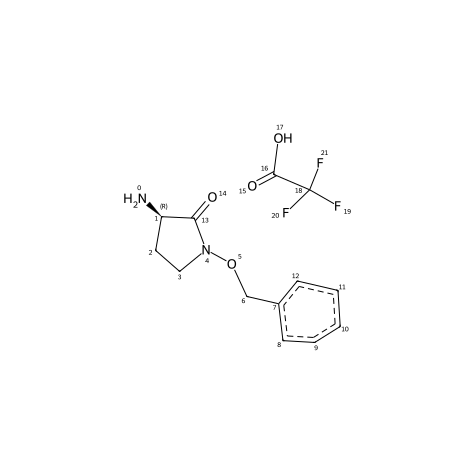 N[C@@H]1CCN(OCc2ccccc2)C1=O.O=C(O)C(F)(F)F